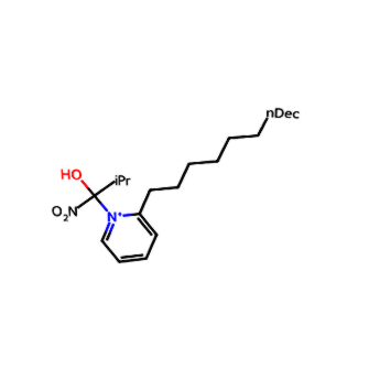 CCCCCCCCCCCCCCCCc1cccc[n+]1C(O)(C(C)C)[N+](=O)[O-]